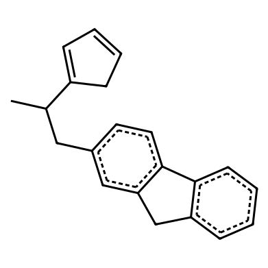 CC(Cc1ccc2c(c1)Cc1ccccc1-2)C1=CC=CC1